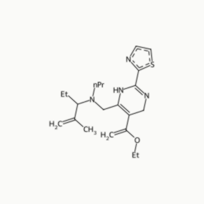 C=C(OCC)C1=C(CN(CCC)C(CC)C(=C)C)NC(c2nccs2)=NC1